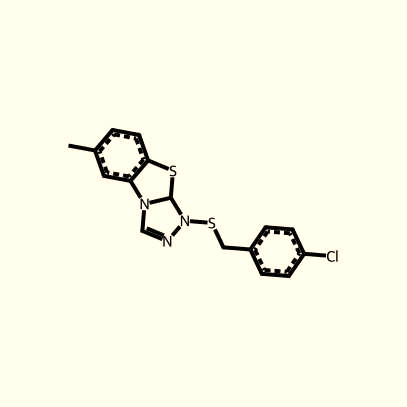 Cc1ccc2c(c1)N1C=NN(SCc3ccc(Cl)cc3)C1S2